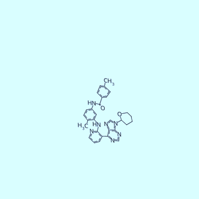 Cc1ccc(C(=O)Nc2ccc(C)c(Nc3ncccc3-c3ncnc4c3ncn4C3CCCCO3)c2)cc1